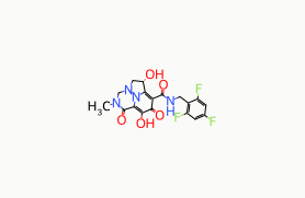 CN1CN2C[C@H](O)c3c(C(=O)NCc4c(F)cc(F)cc4F)c(=O)c(O)c(n32)C1=O